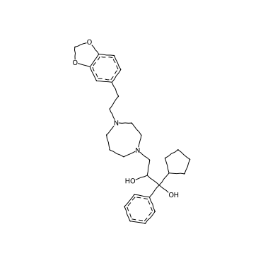 OC(CN1CCCN(CCc2ccc3c(c2)OCO3)CC1)C(O)(c1ccccc1)C1CCCC1